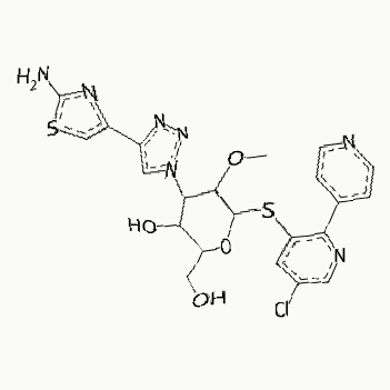 COC1C(Sc2cc(Cl)cnc2-c2ccncc2)OC(CO)C(O)C1n1cc(-c2csc(N)n2)nn1